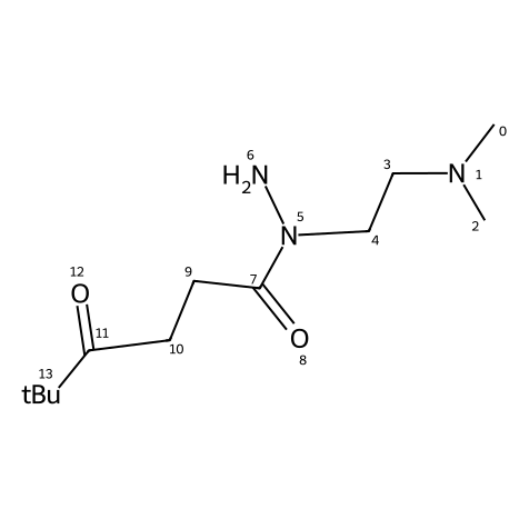 CN(C)CCN(N)C(=O)CCC(=O)C(C)(C)C